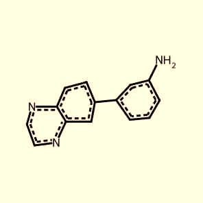 Nc1cccc(-c2ccc3nccnc3c2)c1